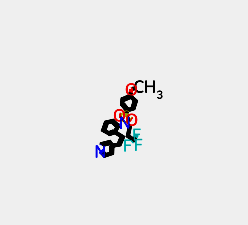 COc1ccc(S(=O)(=O)N(CCC(F)(F)F)c2ccccc2C=Cc2ccncc2)cc1